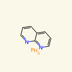 P.c1cnc2ncccc2c1